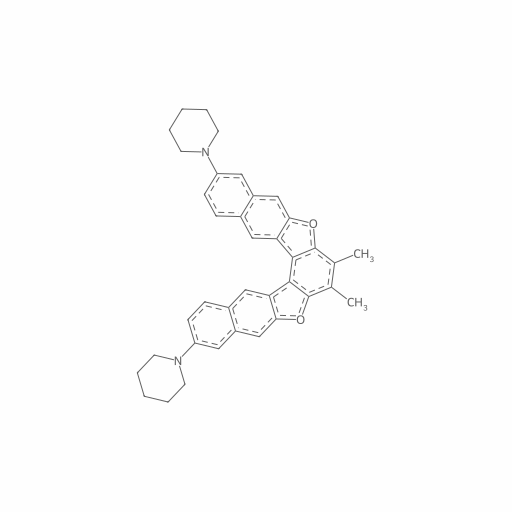 Cc1c(C)c2oc3cc4cc(N5CCCCC5)ccc4cc3c2c2c1oc1cc3cc(N4CCCCC4)ccc3cc12